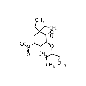 CCC(CC)O[C@H]1[C@H](C)[C@H]([N+](=O)[O-])CC(CC)(CC)[C@@H]1O